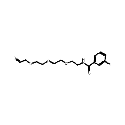 O=CCOCCOCCOCCNC(=O)c1cccc(I)c1